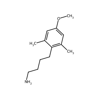 COc1cc(C)c(CCCCN)c(C)c1